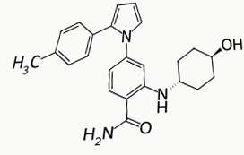 Cc1ccc(-c2cccn2-c2ccc(C(N)=O)c(N[C@H]3CC[C@H](O)CC3)c2)cc1